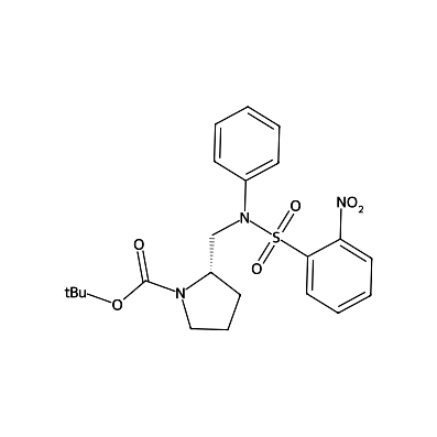 CC(C)(C)OC(=O)N1CCC[C@H]1CN(c1ccccc1)S(=O)(=O)c1ccccc1[N+](=O)[O-]